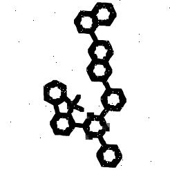 C[Si]1(C)c2ccccc2-c2cccc(-c3nc(-c4ccccc4)nc(-c4cccc(-c5ccc6cc(-c7cccc8ccccc78)ccc6c5)c4)n3)c21